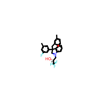 Cc1cccc(CC2(c3cc(C)cc(F)c3)CN(C[C@@H](O)C(F)(F)F)c3ccccc32)c1